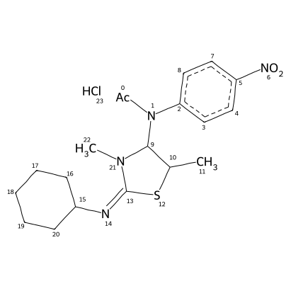 CC(=O)N(c1ccc([N+](=O)[O-])cc1)C1C(C)SC(=NC2CCCCC2)N1C.Cl